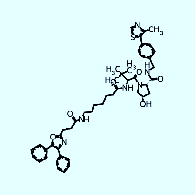 Cc1ncsc1-c1ccc(CNC(=O)[C@@H]2C[C@@H](O)CN2C(=O)[C@@H](NC(=O)CCCCCCNC(=O)CCc2nc(-c3ccccc3)c(-c3ccccc3)o2)C(C)(C)C)cc1